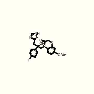 COc1ccc2c(c1)SCC(=O)N2CC(O)(Cc1nc[nH]n1)c1ccc(F)cc1